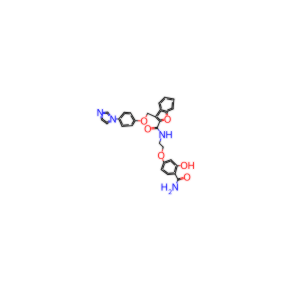 NC(=O)c1ccc(OCCNC(=O)c2oc3ccccc3c2COc2ccc(-n3ccnc3)cc2)cc1O